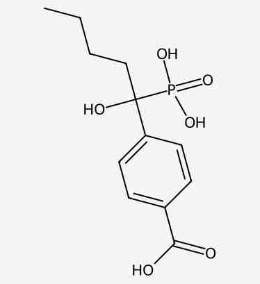 CCCCC(O)(c1ccc(C(=O)O)cc1)P(=O)(O)O